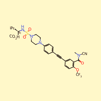 CC(C)[C@@H](NS(=O)(=O)N1CCN(c2ccc(C#Cc3ccc(OC(F)(F)F)c(C(=O)N(C)C#N)c3)cc2)CC1)C(=O)O